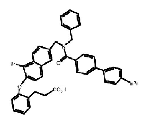 CCCc1ccc(-c2ccc(C(=O)N(Cc3ccccc3)Cc3ccc4c(Br)c(Oc5ccccc5CCC(=O)O)ccc4c3)cc2)cc1